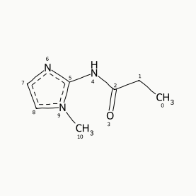 CCC(=O)Nc1nccn1C